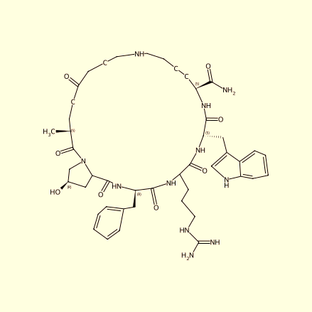 C[C@H]1CCC(=O)CCCNCCCC[C@@H](C(N)=O)NC(=O)[C@H](Cc2c[nH]c3ccccc23)NC(=O)C(CCCNC(=N)N)NC(=O)[C@@H](Cc2ccccc2)NC(=O)C2C[C@@H](O)CN2C1=O